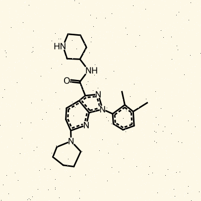 Cc1cccc(-n2nc(C(=O)NC3CCCNC3)c3ccc(N4CCCCC4)nc32)c1C